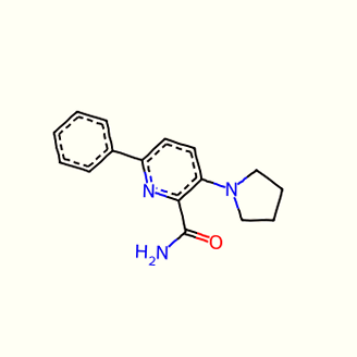 NC(=O)c1nc(-c2ccccc2)ccc1N1CCCC1